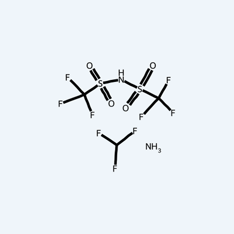 FC(F)F.N.O=S(=O)(NS(=O)(=O)C(F)(F)F)C(F)(F)F